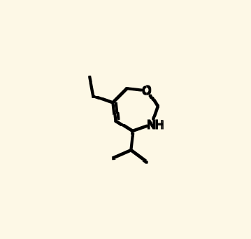 CCC1=CC(C(C)C)NCOC1